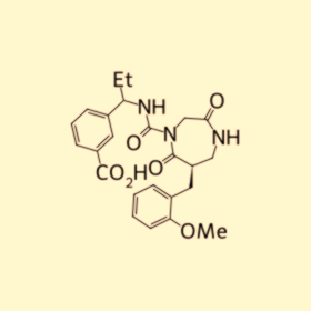 CCC(NC(=O)N1CC(=O)NC[C@@H](Cc2ccccc2OC)C1=O)c1cccc(C(=O)O)c1